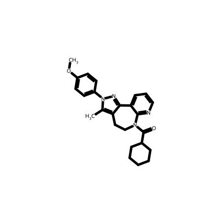 COc1ccc(-n2nc3c(c2C)CCN(C(=O)C2CCCCC2)c2ncccc2-3)cc1